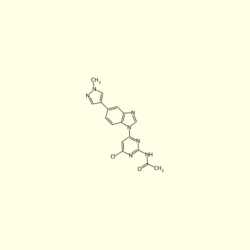 CC(=O)Nc1nc(Cl)cc(-n2cnc3cc(-c4cnn(C)c4)ccc32)n1